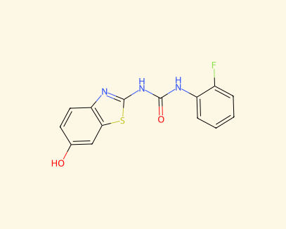 O=C(Nc1nc2ccc(O)cc2s1)Nc1ccccc1F